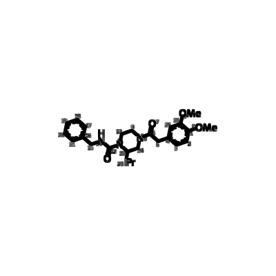 COc1ccc(CC(=O)N2CCN(C(=O)NCc3ccccc3)C(C(C)C)C2)cc1OC